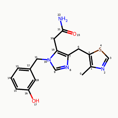 Cc1ncsc1Cc1ncn(Cc2cccc(O)c2)c1CC(N)=O